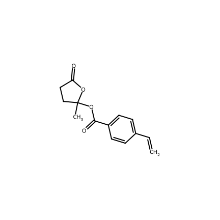 C=Cc1ccc(C(=O)OC2(C)CCC(=O)O2)cc1